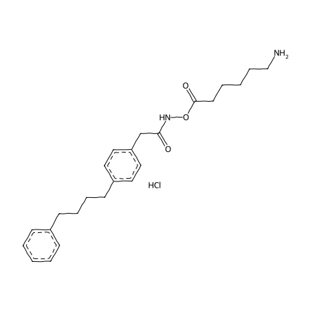 Cl.NCCCCCC(=O)ONC(=O)Cc1ccc(CCCCc2ccccc2)cc1